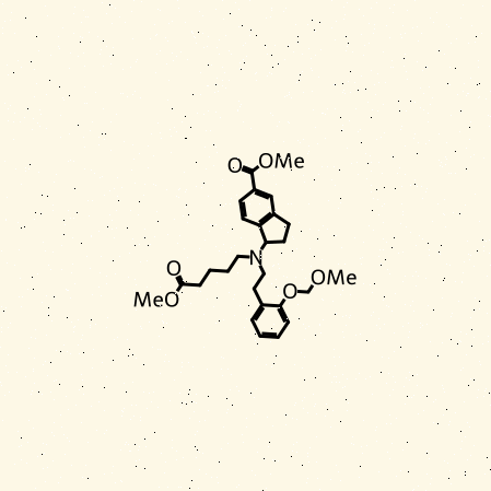 COCOc1ccccc1CCN(CCCCC(=O)OC)C1CCc2cc(C(=O)OC)ccc21